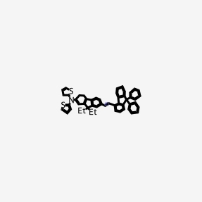 CCC1(CC)C2=C(CCC(N(c3cccs3)C3CC=CS3)=C2)c2ccc(/C=C/c3cccc4c3-c3ccccc3C4(c3ccccc3)c3ccccc3)cc21